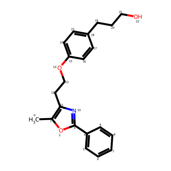 Cc1oc(-c2ccccc2)nc1CCOc1ccc(CCCO)cc1